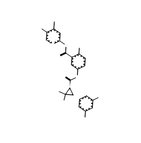 Cc1cc(NC(=O)c2cc(NC(=O)[C@H]3[C@H](c4cc(Cl)cc(Cl)c4)C3(Cl)Cl)ccc2Cl)ncc1F